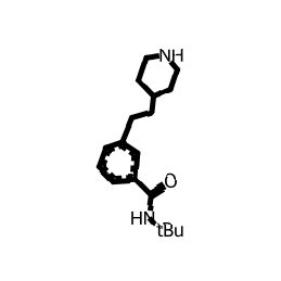 CC(C)(C)NC(=O)c1cccc(CCC2CCNCC2)c1